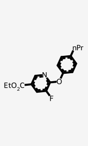 CCCc1ccc(Oc2ncc(C(=O)OCC)cc2F)cc1